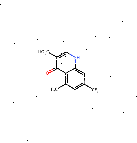 O=C(O)c1c[nH]c2cc(C(F)(F)F)cc(C(F)(F)F)c2c1=O